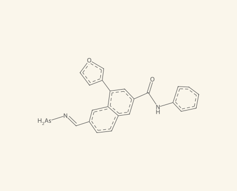 O=C(Nc1ccccc1)c1cc(-c2ccoc2)c2cc(C=N[AsH2])ccc2c1